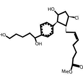 COC(=O)CCC/C=C\C[C@H]1[C@H](Cl)CC(O)[C@@H]1c1ccc(C(O)CCCCO)cc1